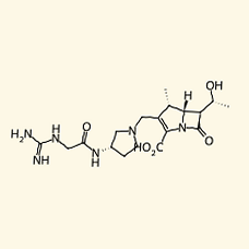 C[C@@H](O)[C@H]1C(=O)N2C(C(=O)O)=C(CN3CC[C@H](NC(=O)CNC(=N)N)C3)[C@H](C)[C@H]12